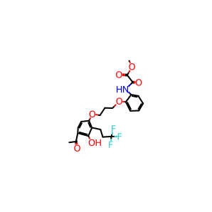 COC(=O)C(=O)Nc1ccccc1OCCCOc1ccc(C(C)=O)c(O)c1CCC(F)(F)F